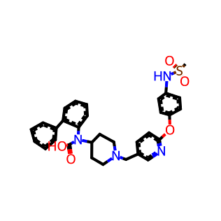 CS(=O)(=O)Nc1ccc(Oc2ccc(CN3CCC(N(C(=O)O)c4ccccc4-c4ccccc4)CC3)cn2)cc1